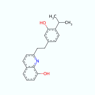 CC(C)c1ccc(CCc2ccc3cccc(O)c3n2)cc1O